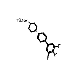 CCCCCCCCCC[C@H]1CC[C@H](C2=CCC(c3cc(F)c(F)c(F)c3)C=C2)CC1